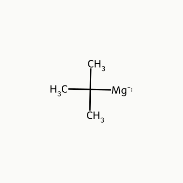 C[C](C)(C)[Mg-]